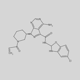 C=CC(=O)N1CCC[C@@H](n2nc(C(=O)NC3Nc4cc(Cl)ccc4O3)c3c(N)ncnc32)C1